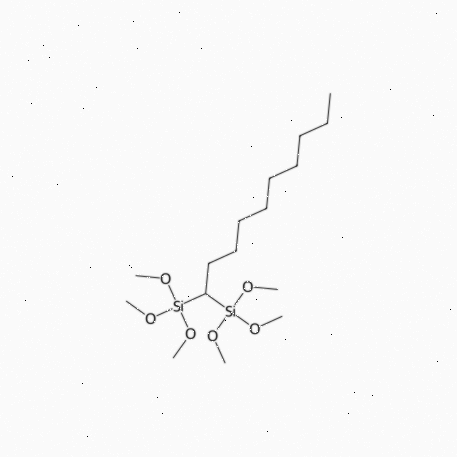 CCCCCCCCCC([Si](OC)(OC)OC)[Si](OC)(OC)OC